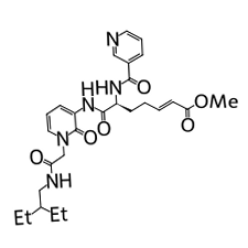 CCC(CC)CNC(=O)Cn1cccc(NC(=O)[C@H](CCC=CC(=O)OC)NC(=O)c2cccnc2)c1=O